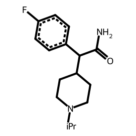 CC(C)N1CCC(C(C(N)=O)c2ccc(F)cc2)CC1